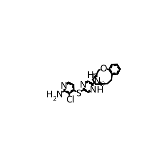 Nc1nccc(Sc2cnc(N3[C@H]4CCc5ccccc5OC[C@@H]3CC4)cn2)c1Cl